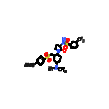 CSc1ccc(S(=O)(=O)C[C@@H]2C[C@H](N(C)C(C)C)CC[C@@H]2N2CC[C@H](NS(=O)(=O)c3cccc(C(F)(F)F)c3)C2=O)cc1